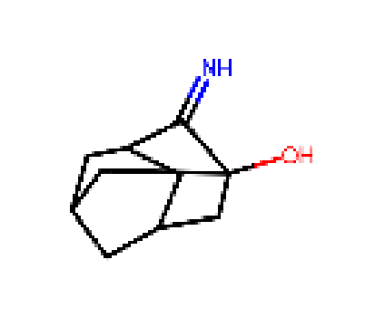 N=C1C2CC3CC(C2)CC1(O)C3